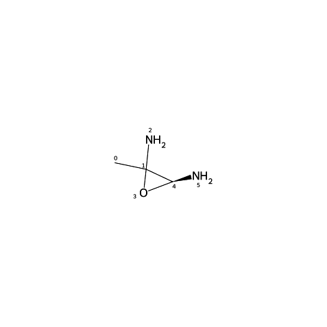 CC1(N)O[C@@H]1N